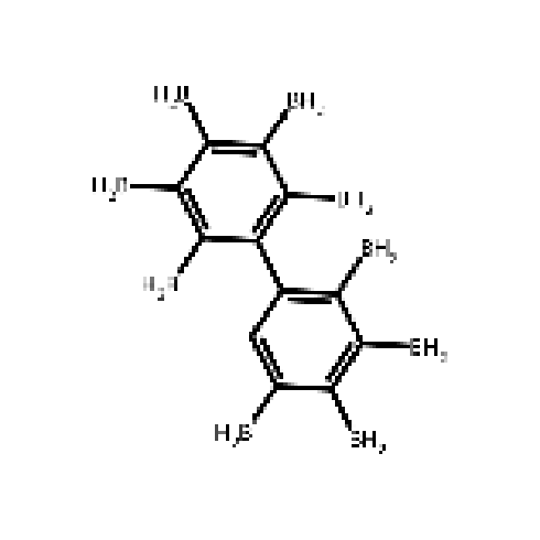 Bc1cc(-c2c(B)c(B)c(B)c(B)c2B)c(B)c(B)c1B